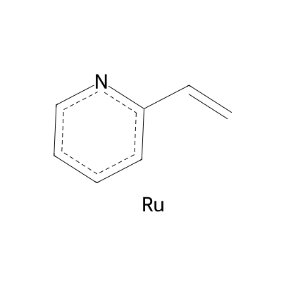 C=Cc1ccccn1.[Ru]